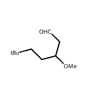 COC(CC=O)CCC(C)(C)C